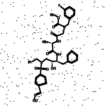 CC(C)CN(C[C@@H](O)[C@H](Cc1ccccc1)NC(=O)[C@@H](NC(=O)CN(Cc1cccc(F)c1)C(=O)OC(C)(C)C)C(C)(C)C)S(=O)(=O)c1ccc(/C=N/O)cc1